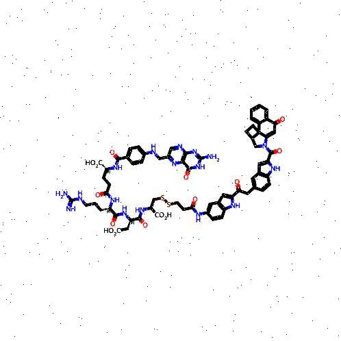 N=C(N)NCCC[C@@H](NC(=O)CC[C@@H](NC(=O)c1ccc(NCc2cnc3nc(N)[nH]c(=O)c3n2)cc1)C(=O)O)C(=O)N[C@H](CC(=O)O)C(=O)NC(CSSCCC(=O)Nc1ccc2[nH]c(C(=O)Cc3ccc4[nH]c(C(=O)N5CC6CCC67C5=CC(=O)c5ccccc57)cc4c3)cc2c1)C(=O)O